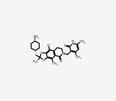 Cc1cc(C)c(CN2CCc3c(Cl)c4c(c(C)c3C2=O)OC(C)(C[C@H]2CC[C@H](N)CC2)O4)c(=O)[nH]1